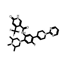 CC1CN(c2cc(F)c(C3=CCN(c4ncccn4)CC3)cc2NC(=O)c2c[nH]c(=O)cc2C(F)(F)F)CC(C)N1C